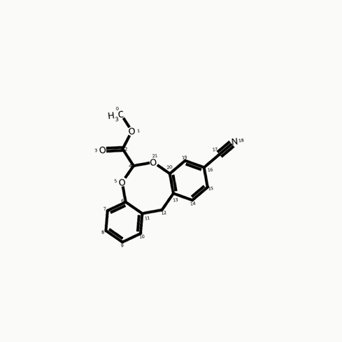 COC(=O)C1Oc2ccccc2Cc2ccc(C#N)cc2O1